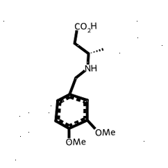 COc1ccc(CN[C@@H](C)CC(=O)O)cc1OC